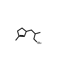 CC1=CC(CC(C)CC(C)(C)C)CC1